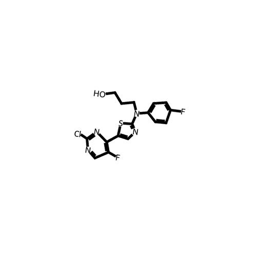 OCCCN(c1ccc(F)cc1)c1ncc(-c2nc(Cl)ncc2F)s1